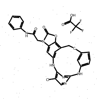 O=C(Cn1c(=O)oc2c3cc(cc21)Nc1nc(ncc1Cl)Nc1cccc(c1)CC3)Nc1ccccc1.O=C(O)C(F)(F)F